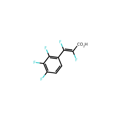 O=C(O)C(F)=C(F)c1ccc(F)c(F)c1F